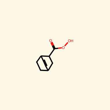 O=C(OO)C1CC2C=CC1CC2